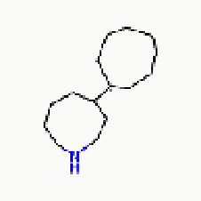 C1CCC[C]([C]2CCCCNCC2)CCC1